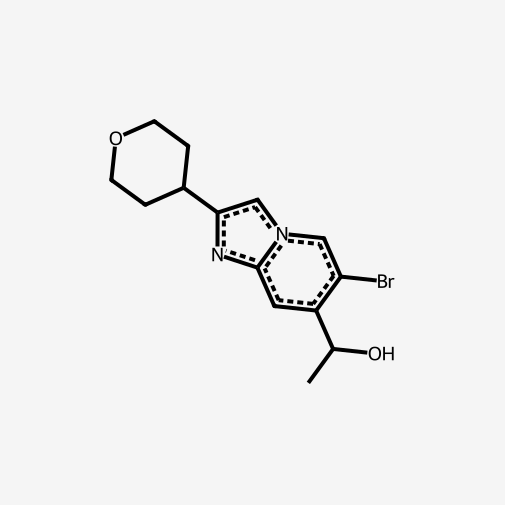 CC(O)c1cc2nc(C3CCOCC3)cn2cc1Br